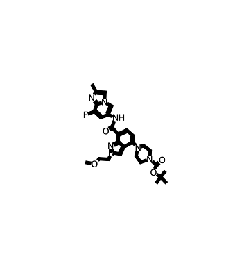 COCCn1cc2c(N3CCN(C(=O)OC(C)(C)C)CC3)ccc(C(=O)Nc3cc(F)c4nc(C)cn4c3)c2n1